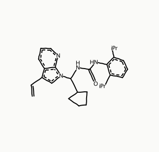 C=Cc1cn(C(NC(=O)Nc2c(C(C)C)cccc2C(C)C)C2CCCC2)c2ncccc12